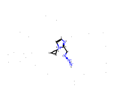 [N-]=[N+]=NCc1nccn1C1CC1